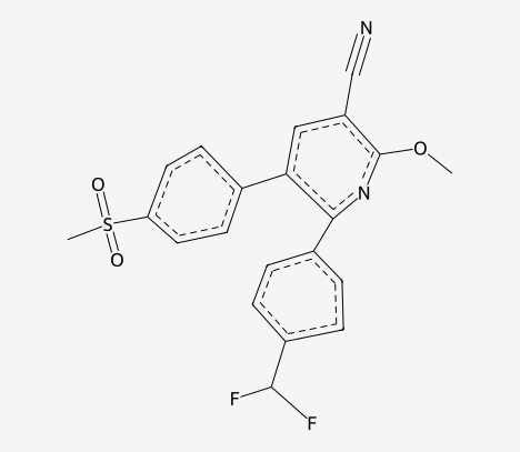 COc1nc(-c2ccc(C(F)F)cc2)c(-c2ccc(S(C)(=O)=O)cc2)cc1C#N